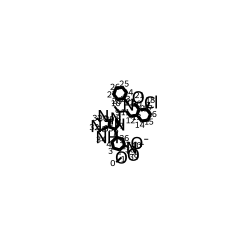 COc1ccc(-c2nn(C(C)c3cc4cccc(Cl)c4c(=O)n3-c3ccccc3)c3ncnc(N)c23)cc1[N+](=O)[O-]